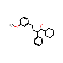 COc1cccc(CCC([C](O)C2CCCCC2)c2ccccc2)c1